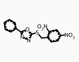 O=[N+]([O-])c1ccc(CSc2nnc(-c3ccccc3)o2)c([N+](=O)[O-])c1